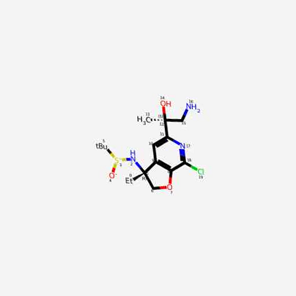 CC[C@]1(N[S+]([O-])C(C)(C)C)COc2c1cc([C@@](C)(O)CN)nc2Cl